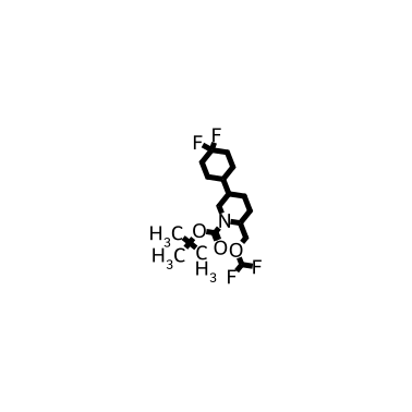 CC(C)(C)OC(=O)N1CC(C2CCC(F)(F)CC2)CCC1COC(F)F